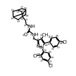 Cc1c(CNC(=O)NCCC23CC4CC(CC(C4)C2)C3)nn(-c2ccc(Cl)cc2Cl)c1-c1ccc(Cl)cc1